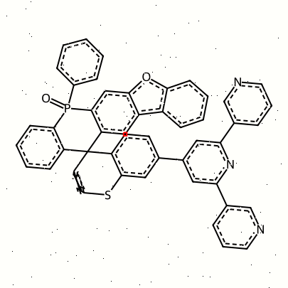 O=P1(c2ccccc2)c2ccccc2C2(c3ccccc3Sc3cc(-c4cc(-c5cccnc5)nc(-c5cccnc5)c4)ccc32)c2cc3c(cc21)oc1ccccc13